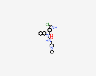 O=C(CN(C(=O)c1ccc2c(Cl)c[nH]c2c1)c1ccc2ccccc2c1)NCC1CCN(C2CCCC2)CC1